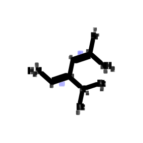 CCN(CC)C(/C=C(\N)Br)=C/N